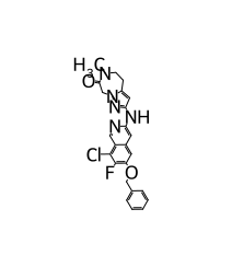 CN1CCc2cc(Nc3cc4cc(OCc5ccccc5)c(F)c(Cl)c4cn3)nn2CC1=O